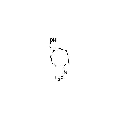 CNC1CCCCC(CO)CCC1